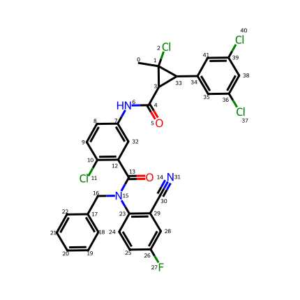 CC1(Cl)C(C(=O)Nc2ccc(Cl)c(C(=O)N(Cc3ccccc3)c3ccc(F)cc3C#N)c2)C1c1cc(Cl)cc(Cl)c1